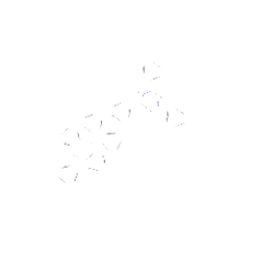 c1ccc(-c2nc(-c3ccccc3)nc(-c3ccc(-c4cccc(C5(c6ccccc6)c6ccccc6-n6c7ccccc7c7cccc5c76)c4)cc3)n2)cc1